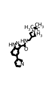 CC(C)(C)N1CC(CNC(=O)c2n[nH]c3ccc(-c4cccnc4)cc23)C1